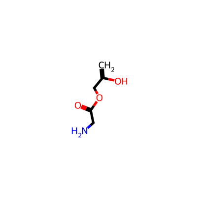 C=C(O)COC(=O)CN